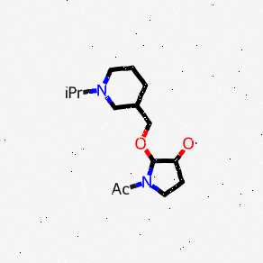 CC(=O)N1CCC([O])C1OCC1CCCN(C(C)C)C1